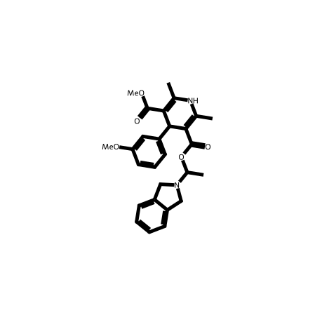 COC(=O)C1=C(C)NC(C)=C(C(=O)OC(C)N2Cc3ccccc3C2)C1c1cccc(OC)c1